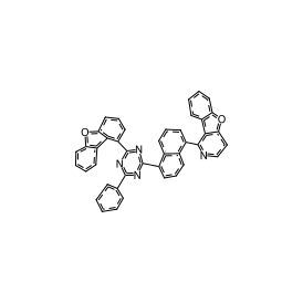 c1ccc(-c2nc(-c3cccc4c(-c5nccc6oc7ccccc7c56)cccc34)nc(-c3cccc4oc5ccccc5c34)n2)cc1